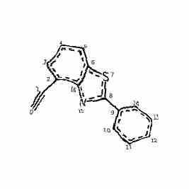 C#Cc1cccc2sc(-c3ccccc3)nc12